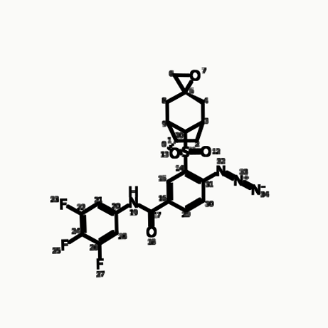 C[C@H]1CC2C[C@]3(CO3)CC1C2S(=O)(=O)c1cc(C(=O)Nc2cc(F)c(F)c(F)c2)ccc1N=[N+]=[N-]